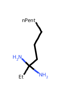 CCCCCCCCC(N)(N)CC